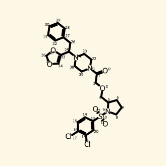 O=C(COCC1CCCN1S(=O)(=O)c1ccc(Cl)c(Cl)c1)N1CCN(C(Cc2ccccc2)C2=COCO2)CC1